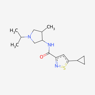 CC1CN(C(C)C)CC1NC(=O)c1cc(C2CC2)sn1